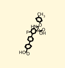 Cc1ccc(OC2Nc3cc(F)c(-c4ccc(-c5ccc(C(=O)O)cc5)cc4)cc3N2C(=O)O)cc1